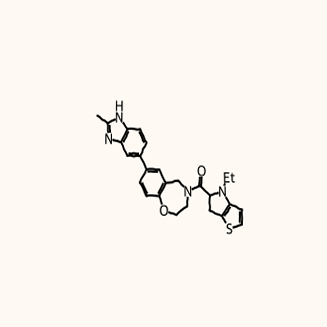 CCN1c2ccsc2CC1C(=O)N1CCOc2ccc(-c3ccc4[nH]c(C)nc4c3)cc2C1